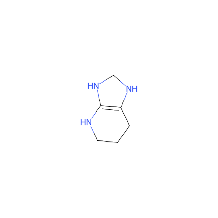 C1CNC2=C(C1)NCN2